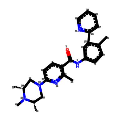 Cc1ccc(NC(=O)c2ccc(N3C[C@@H](C)N(C)[C@@H](C)C3)nc2C)cc1-c1ccccn1